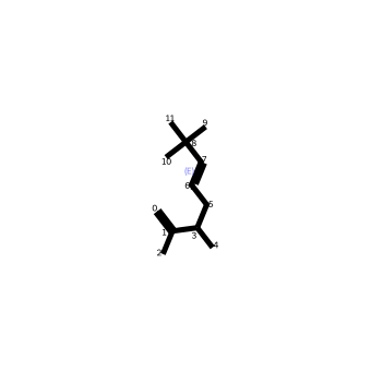 C=C(C)C(C)C/[C]=C/C(C)(C)C